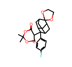 CC1(C)OC(=O)C(C2(c3ccc(F)cc3)C3CC4CC2CC(C3)C42OCCO2)C(=O)O1